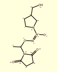 CC(O/N=[N+](/[O-])N1CCC(CO)C1)N1C(=O)CCC1=O